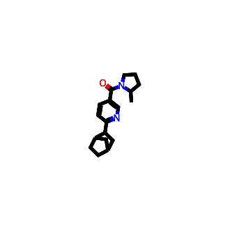 CC1CCCN1C(=O)c1ccc(C2CC3CCC2C3)nc1